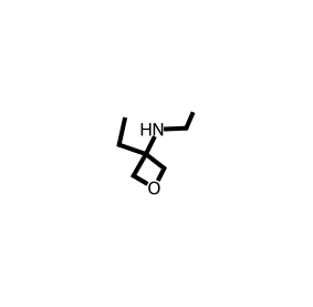 CCNC1(CC)COC1